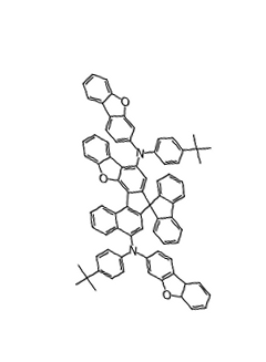 CC(C)(C)c1ccc(N(c2ccc3c(c2)OC2C=CC=CC32)c2cc3c(c4ccccc24)-c2c(cc(N(c4ccc(C(C)(C)C)cc4)c4ccc5c(c4)oc4ccccc45)c4c2oc2ccccc24)C32c3ccccc3-c3ccccc32)cc1